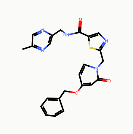 Cc1cnc(CNC(=O)c2cnc(Cn3ccc(OCc4ccccc4)cc3=O)s2)cn1